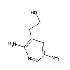 Nc1cnc(N)c(CCO)c1